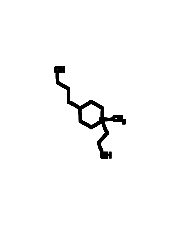 C[N+]1(CCO)CCC(CCCO)CC1